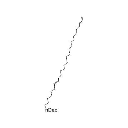 C=CCCCCCCCCCCCCCCCCCC=CCCCCCCCCCCCCCCCC